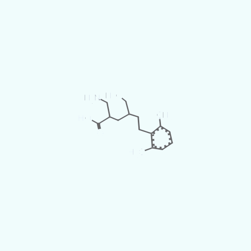 CCC(CCc1c(C)cccc1C)CC(CN)C(=O)O